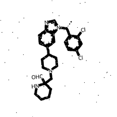 C[C@H](c1ccc(Cl)cc1Cl)n1cnc2ccc(C3CCN(CC4(C=O)CCCCN4)CC3)cc21